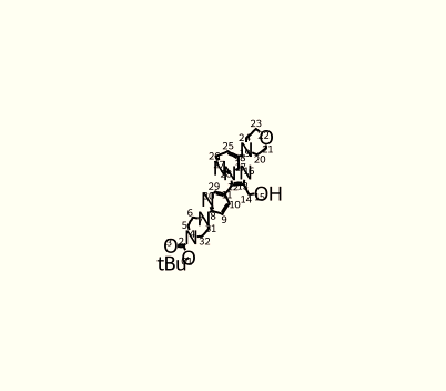 CC(C)(C)OC(=O)N1CCN(c2ccc(-c3c(CO)nc4c(N5CCOCC5)ccnn34)cn2)CC1